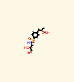 CC(Cc1ccc(S(=O)(=O)NCC(O)CO)cc1)OO